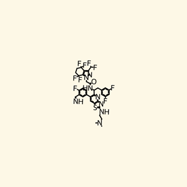 CN(C)CCNc1nc2nc(C(Cc3cc(F)cc(F)c3)NC(=O)Cn3nc(C(F)F)c4c3C(F)(F)CCC4(F)F)c(-c3ccc(F)c(C=N)c3)cc2s1